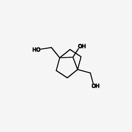 OCC12CCC(CO)(CC1)C2O